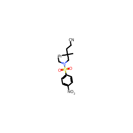 CC(C)CN(CC(C)(C)CCC#N)S(=O)(=O)c1ccc([N+](=O)[O-])cc1